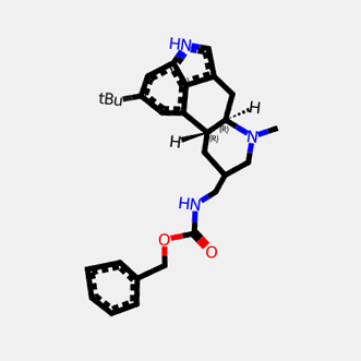 CN1CC(CNC(=O)OCc2ccccc2)C[C@@H]2c3cc(C(C)(C)C)cc4[nH]cc(c34)C[C@H]21